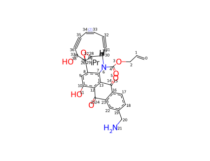 C=CCOC(=O)N1c2c(cc(O)c3c2C(=O)c2ccc(CN)cc2C3=O)[C@@]23O[C@@]2(C(C)C)[C@@H]1C#C/C=C\C#C[C@H]3O